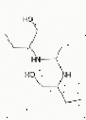 CCC(CO)NC(C)NC(CC)CO